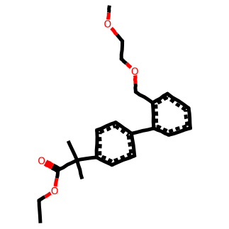 CCOC(=O)C(C)(C)c1ccc(-c2ccccc2COCCOC)cc1